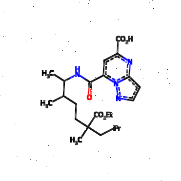 CCOC(=O)C(C)(CCC(C)C(C)NC(=O)c1cc(C(=O)O)nc2ccnn12)CC(C)C